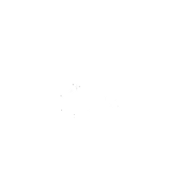 CCOC(=O)C(C(=O)OCC)c1ccc(Cl)cn1